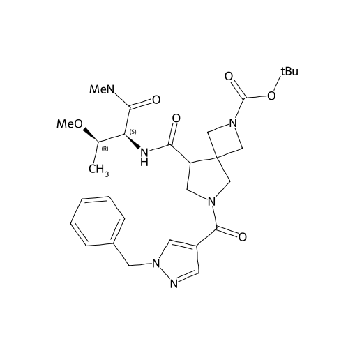 CNC(=O)[C@@H](NC(=O)C1CN(C(=O)c2cnn(Cc3ccccc3)c2)CC12CN(C(=O)OC(C)(C)C)C2)[C@@H](C)OC